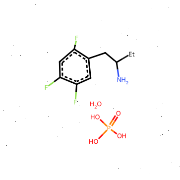 CCC(N)Cc1cc(F)c(F)cc1F.O.O=P(O)(O)O